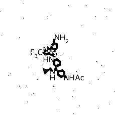 CC(=O)Nc1ccc(C(NCC2CC2)c2cccc(NC(=O)c3cc(C(F)(F)F)nn3-c3cccc(CN)c3)c2)cc1